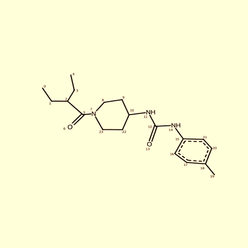 CCC(CC)C(=O)N1CCC(NC(=O)Nc2ccc(C)cc2)CC1